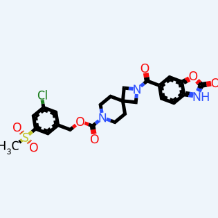 CS(=O)(=O)c1cc(Cl)cc(COC(=O)N2CCC3(CC2)CN(C(=O)c2ccc4[nH]c(=O)oc4c2)C3)c1